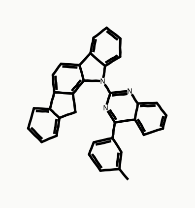 Cc1cccc(-c2nc(-n3c4ccccc4c4ccc5c(c43)Cc3ccccc3-5)nc3ccccc23)c1